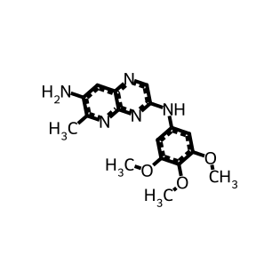 COc1cc(Nc2cnc3cc(N)c(C)nc3n2)cc(OC)c1OC